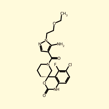 CCOCCn1ncc(C(=O)N2CCC[C@@]3(C2)OC(=O)Nc2ccc(Cl)c(F)c23)c1N